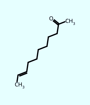 C/C=C/CCCCCCC(C)=O